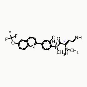 CN/C(=C\C=N)C(=O)N(C)c1ccc(-c2ccc3cc(OC(F)(F)F)ccc3n2)cc1C